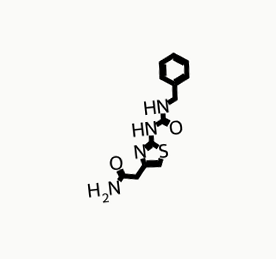 NC(=O)Cc1csc(NC(=O)NCc2ccccc2)n1